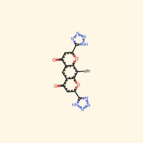 CCCc1c2oc(-c3nnn[nH]3)cc(=O)c2cc2c(=O)cc(-c3nnn[nH]3)oc12